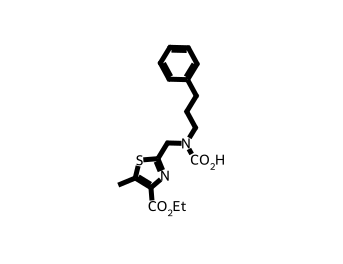 CCOC(=O)c1nc(CN(CCCc2ccccc2)C(=O)O)sc1C